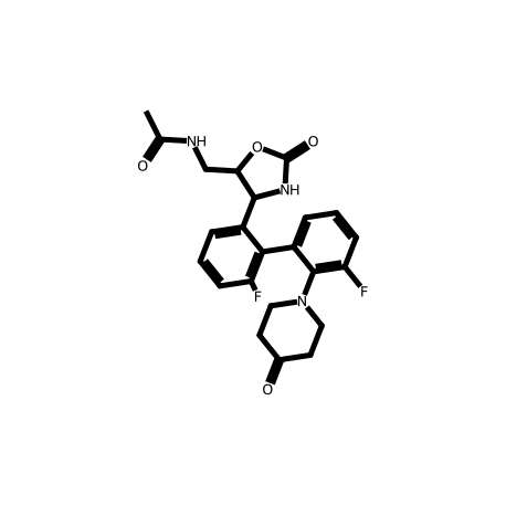 CC(=O)NCC1OC(=O)NC1c1cccc(F)c1-c1cccc(F)c1N1CCC(=O)CC1